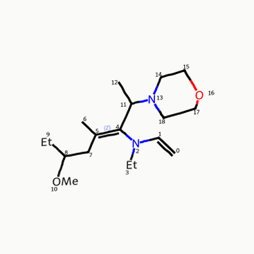 C=CN(CC)/C(=C(/C)CC(CC)OC)C(C)N1CCOCC1